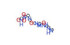 CN1CCC[C@@H]1c1cc2cnc(NC(=O)c3ccc(N4CCC(OC5CCN(c6cccc7c6CN(C6CCC(=O)NC6=O)C7=O)CC5)CC4)nc3)cc2[nH]1